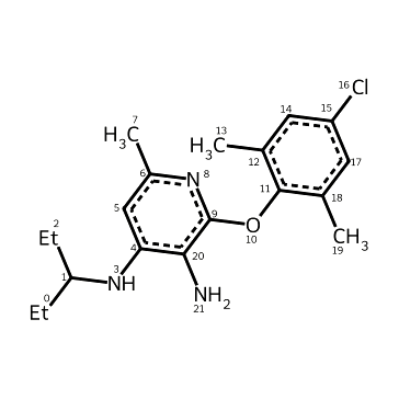 CCC(CC)Nc1cc(C)nc(Oc2c(C)cc(Cl)cc2C)c1N